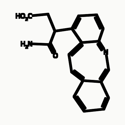 NC(=O)C(CC(=O)O)c1cccc2c1=CC=c1ccccc1=CN=2